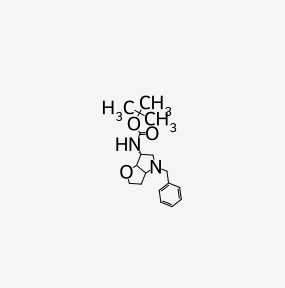 CC(C)(C)OC(=O)N[C@H]1CN(Cc2ccccc2)C2CCOC21